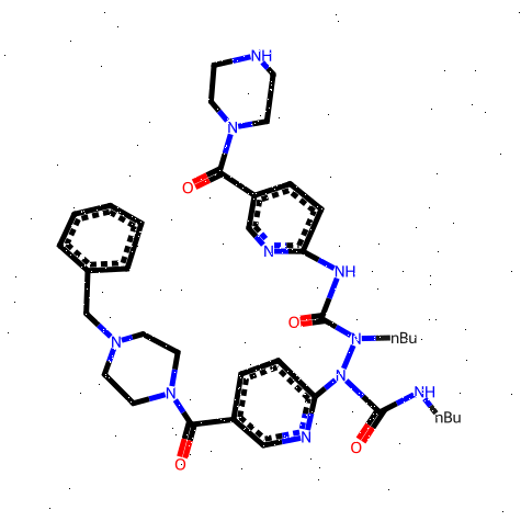 CCCCNC(=O)N(c1ccc(C(=O)N2CCN(Cc3ccccc3)CC2)cn1)N(CCCC)C(=O)Nc1ccc(C(=O)N2CCNCC2)cn1